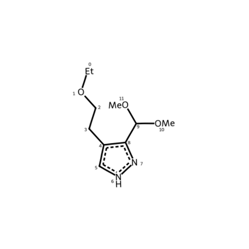 CCOCCc1c[nH]nc1C(OC)OC